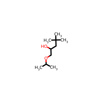 CC(C)OCC(O)CC(C)(C)C